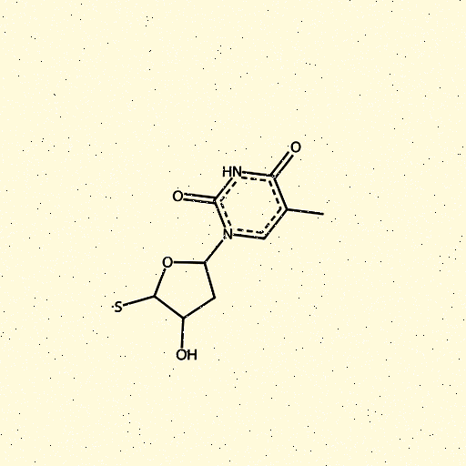 Cc1cn(C2CC(O)C([S])O2)c(=O)[nH]c1=O